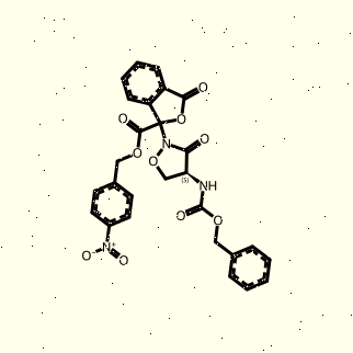 O=C(N[C@H]1CON(C2(C(=O)OCc3ccc([N+](=O)[O-])cc3)OC(=O)c3ccccc32)C1=O)OCc1ccccc1